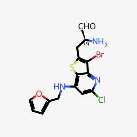 N[C@H](C=O)Cc1sc2c(NCc3ccco3)cc(Cl)nc2c1Br